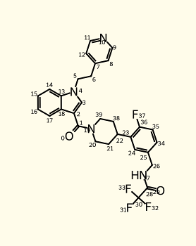 O=C(c1cn(CCc2ccncc2)c2ccccc12)N1CCC(c2cc(CNC(=O)C(F)(F)F)ccc2F)CC1